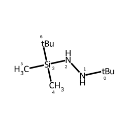 CC(C)(C)NN[Si](C)(C)C(C)(C)C